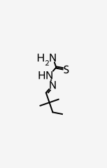 CCC(C)(C)C=NNC(N)=S